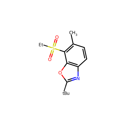 CCS(=O)(=O)c1c(C)ccc2nc(C(C)(C)C)oc12